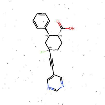 O=C(O)[C@@H]1CC[C@@](F)(C#Cc2cncnc2)C[C@H]1c1ccccc1